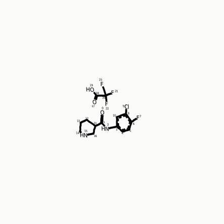 O=C(Nc1ccc(F)c(Cl)c1)C1CCCNC1.O=C(O)C(F)(F)F